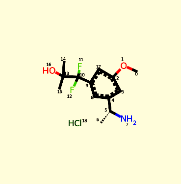 COc1cc([C@@H](C)N)cc(C(F)(F)C(C)(C)O)c1.Cl